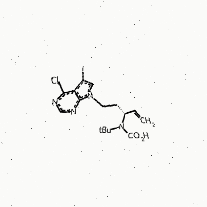 C=C[C@@H](CCn1cc(I)c2c(Cl)ncnc21)N(C(=O)O)C(C)(C)C